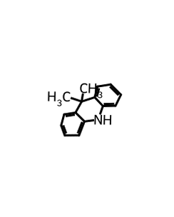 CC1(C)c2ccccc2Nc2ccccc21